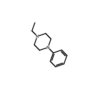 C[CH]N1CCN(c2ccccc2)CC1